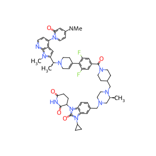 CNc1ccn(-c2ccnc3c2cc([C@H](C)N2CC=C(c4c(F)cc(C(=O)N5CCC(CN6CCN(Cc7ccc8c(c7)n(C7CC7)c(=O)n8C7CCC(=O)NC7=O)C[C@@H]6C)CC5)cc4F)CC2)n3C)c(=O)c1